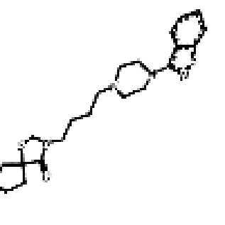 O=C1N(CCCCN2CCN(c3nsc4ccccc34)CC2)CSC12CCCC2